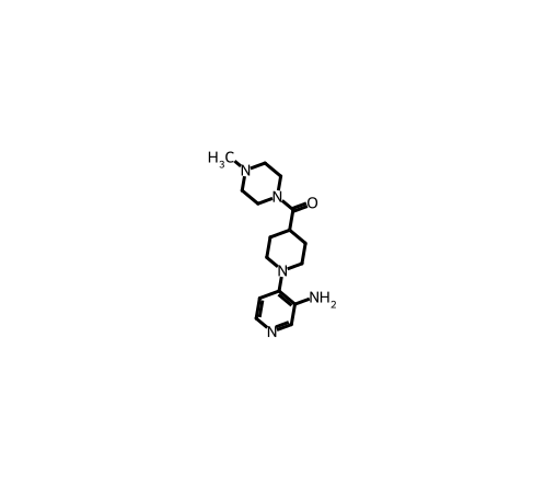 CN1CCN(C(=O)C2CCN(c3ccncc3N)CC2)CC1